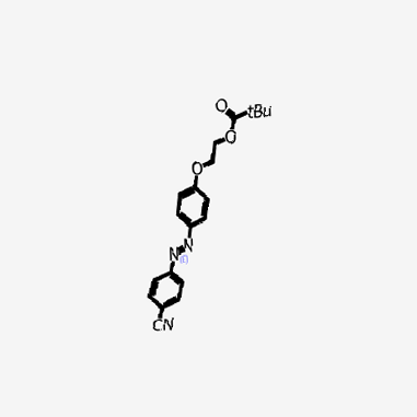 CC(C)(C)C(=O)OCCOc1ccc(/N=N/c2ccc(C#N)cc2)cc1